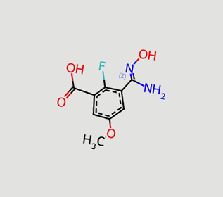 COc1cc(C(=O)O)c(F)c(/C(N)=N/O)c1